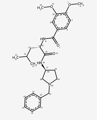 COc1ccc(C(=O)N[C@@H](CC(C)C)C(=O)N[C@H]2CCN(Cc3ccccc3)C2)cc1OC